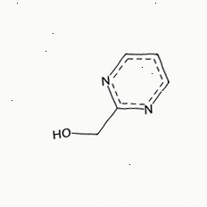 OCc1ncccn1